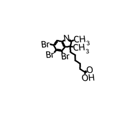 CC1=Nc2cc(Br)c(Br)c(Br)c2C1(C)CCCCCC(=O)O